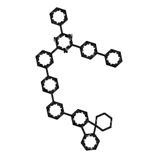 c1ccc(-c2ccc(-c3nc(-c4ccccc4)nc(-c4cccc(-c5ccc(-c6cccc(-c7ccc8c(c7)-c7ccccc7C87CCCCC7)c6)cc5)c4)n3)cc2)cc1